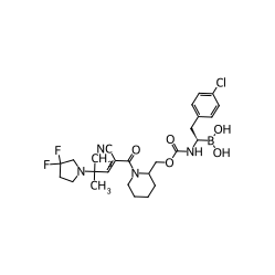 CC(C)(C=C(C#N)C(=O)N1CCCCC1COC(=O)N[C@@H](Cc1ccc(Cl)cc1)B(O)O)N1CCC(F)(F)C1